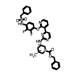 C[C@@H]1C[C@H](Nc2nccc(-c3cccnc3Oc3ccc(NS(=O)(=O)Cc4ccccc4)c(F)c3F)n2)CN(C(=O)OCc2ccccc2)C1